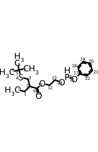 CCC(CSC(C)(C)C)C(=O)OCCOPOc1ccccc1